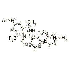 CC(=O)Nc1cc([C@@H](C)Nc2ncnc3cnc(N4CCN(C)C[C@@H]4C)cc23)cc(C(F)(F)F)c1